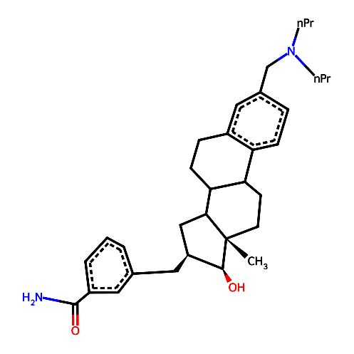 CCCN(CCC)Cc1ccc2c(c1)CCC1C2CC[C@@]2(C)C1C[C@H](Cc1cccc(C(N)=O)c1)[C@@H]2O